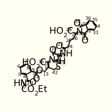 CCOC(=O)NC(=O)c1ccccc1C(=O)OCC1=C(C(=O)O)N2C(=O)[C@@H](NC(=O)CCCC(C(=O)O)N3C(=O)c4ccccc4C3=O)[C@@H]2SC1